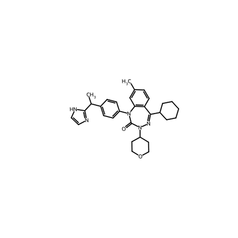 Cc1ccc2c(c1)N(c1ccc(C(C)c3ncc[nH]3)cc1)C(=O)N(C1CCOCC1)N=C2C1CCCCC1